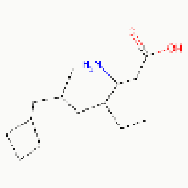 CCC(CC(C)CC1CCC1)C(N)CC(=O)O